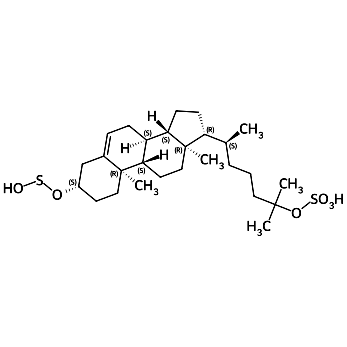 C[C@@H](CCCC(C)(C)OS(=O)(=O)O)[C@H]1CC[C@H]2[C@@H]3CC=C4C[C@@H](OSO)CC[C@]4(C)[C@H]3CC[C@]12C